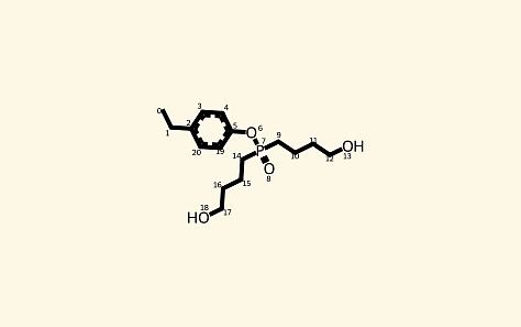 CCc1ccc(OP(=O)(CCCCO)CCCCO)cc1